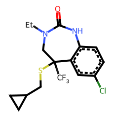 CCN1CC(SCC2CC2)(C(F)(F)F)c2cc(Cl)ccc2NC1=O